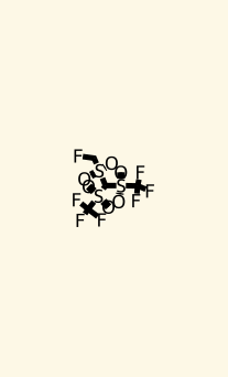 O=S(=O)(CF)C(S(=O)(=O)C(F)(F)F)S(=O)(=O)C(F)(F)F